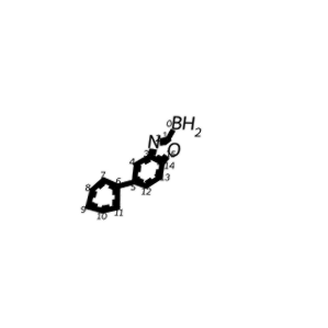 Bc1nc2cc(-c3ccccc3)ccc2o1